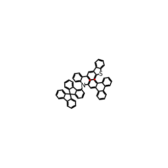 c1ccc(N(c2ccc3c4ccccc4c4ccccc4c3c2)c2cccc3c2-c2ccccc2C32c3ccccc3-c3ccccc32)c(-c2ccc3sc4ccccc4c3c2)c1